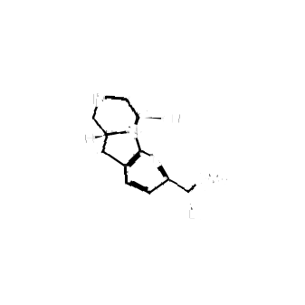 CC[C@@H](OC)c1ccc2c(n1)N1[C@@H](CNC[C@H]1C)C2